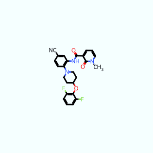 Cn1cccc(C(=O)Nc2cc(C#N)ccc2N2CCC(Oc3c(F)cccc3F)CC2)c1=O